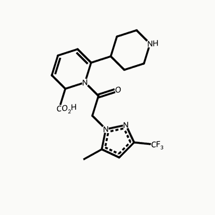 Cc1cc(C(F)(F)F)nn1CC(=O)N1C(C2CCNCC2)=CC=CC1C(=O)O